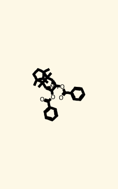 CC1C2(C)CCC1(C)C1(C)C3NC(C(OC(=O)c4ccccc4)C3OC(=O)c3ccccc3)C21C